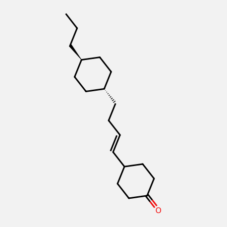 CCC[C@H]1CC[C@H](CC/C=C/C2CCC(=O)CC2)CC1